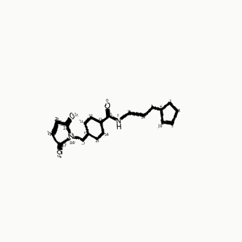 O=C(NCCCC1CCCC1)C1CCC(CN2C(=O)C=CC2=O)CC1